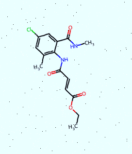 CCOC(=O)C=CC(=O)Nc1c(C)cc(Cl)cc1C(=O)NC